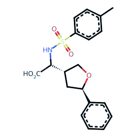 Cc1ccc(S(=O)(=O)NC(C(=O)O)[C@@H]2CO[C@@H](c3ccccc3)C2)cc1